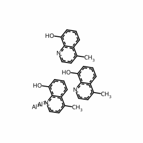 Cc1ccnc2c(O)cccc12.Cc1ccnc2c(O)cccc12.Cc1ccnc2c(O)cccc12.[Al+3].[Al+3]